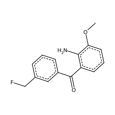 COc1cccc(C(=O)c2cccc(CF)c2)c1N